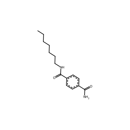 CCCCCCCNC(=O)c1ccc(C(N)=O)cc1